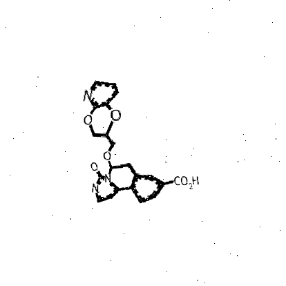 O=C(O)c1ccc2c(c1)CC(OCC1COc3ncccc3O1)n1c-2ccnc1=O